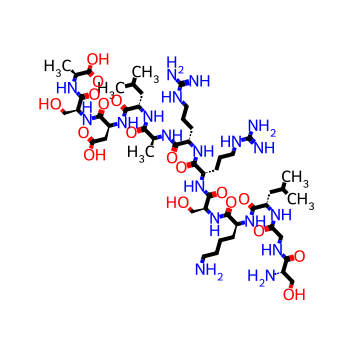 CC(C)C[C@H](NC(=O)CNC(=O)[C@@H](N)CO)C(=O)N[C@@H](CCCCN)C(=O)N[C@@H](CO)C(=O)N[C@@H](CCCNC(=N)N)C(=O)N[C@@H](CCCNC(=N)N)C(=O)N[C@@H](C)C(=O)N[C@@H](CC(C)C)C(=O)N[C@@H](CC(=O)O)C(=O)N[C@@H](CO)C(=O)N[C@@H](C)C(=O)O